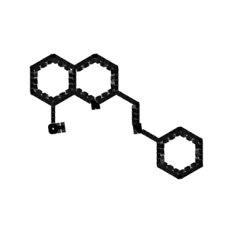 Oc1cccc2ccc(C=Nc3ccccc3)nc12